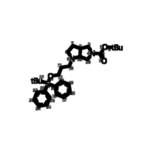 CC(C)(C)OC(=O)N1CC2CCN(CCCO[Si](c3ccccc3)(c3ccccc3)C(C)(C)C)C2C1